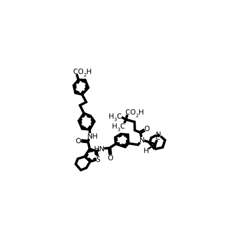 CC(C)(CCC(=O)N(Cc1cccc(C(=O)Nc2sc3c(c2C(=O)Nc2ccc(CCc4ccc(C(=O)O)cc4)cc2)CCCC3)c1)[C@@H]1CN2CCC1CC2)C(=O)O